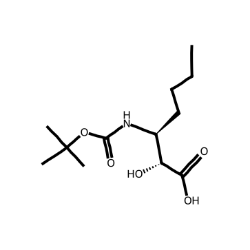 CCCC[C@H](NC(=O)OC(C)(C)C)[C@@H](O)C(=O)O